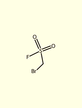 O=S(=O)(F)CBr